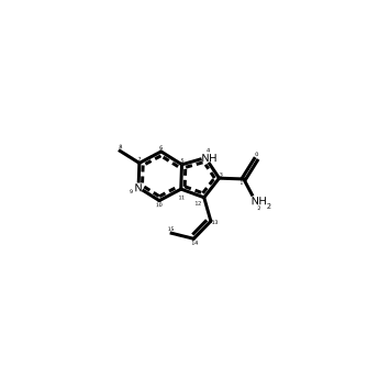 C=C(N)c1[nH]c2cc(C)ncc2c1/C=C\C